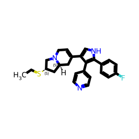 CCS[C@H]1C[C@@H]2CC(c3c[nH]c(-c4ccc(F)cc4)c3-c3ccncc3)=CCN2C1